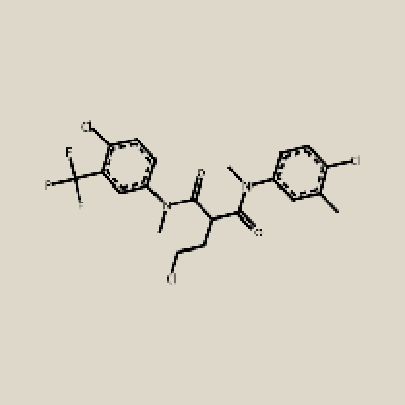 Cc1cc(N(C)C(=O)C(CCCl)C(=O)N(C)c2ccc(Cl)c(C(F)(F)F)c2)ccc1Cl